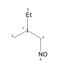 CCI(C)CN=O